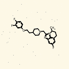 CC1CCc2cc(F)cc3nc(CN4CCC(CCOc5ccc(F)c(F)c5)CC4)n1c23